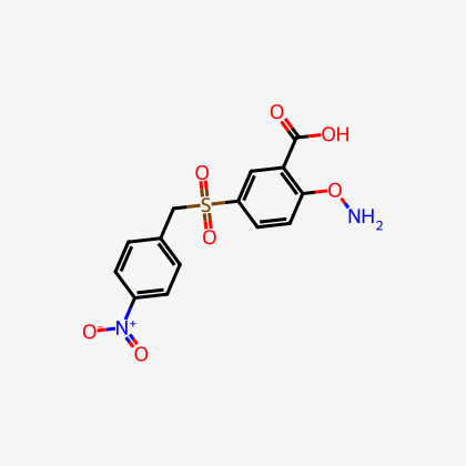 NOc1ccc(S(=O)(=O)Cc2ccc([N+](=O)[O-])cc2)cc1C(=O)O